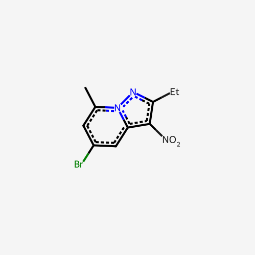 CCc1nn2c(C)cc(Br)cc2c1[N+](=O)[O-]